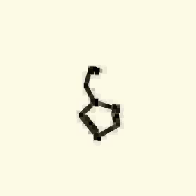 C[C](C)Cn1cncn1